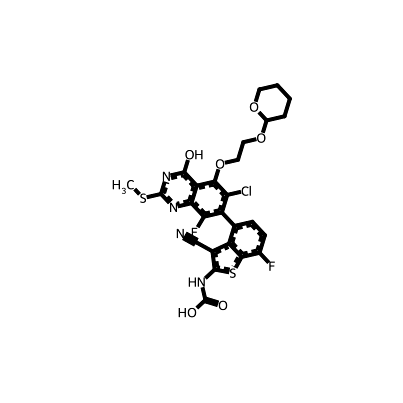 CSc1nc(O)c2c(OCCOC3CCCCO3)c(Cl)c(-c3ccc(F)c4sc(NC(=O)O)c(C#N)c34)c(F)c2n1